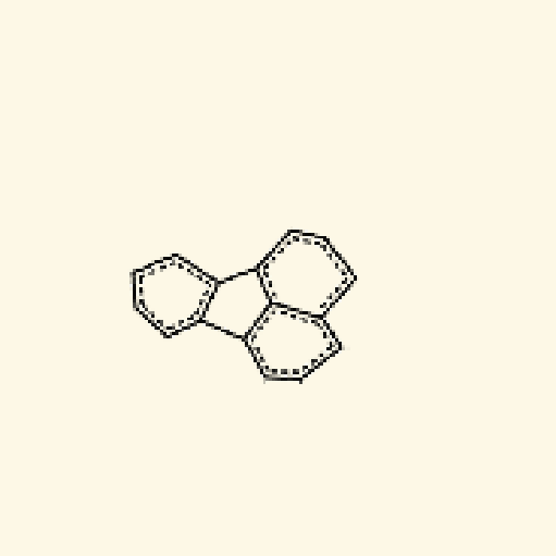 [c]1[c]c2c3c(cccc3[c]1)-c1ccccc1-2